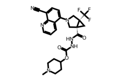 CN1CCC(OC(=O)NNC(=O)[C@]23CN(c4ccc(C#N)c5ncccc45)C[C@@]2(C(F)(F)F)C3)CC1